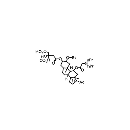 CCCN(CCC)CC(=O)OC1C[C@]2(C)[C@@H](C(C)=O)CC[C@H]2[C@@H]2CCC3CC(OC(=O)CC(O)(CC(=O)O)C(=O)O)C(OCC)C[C@]3(C)[C@@H]12